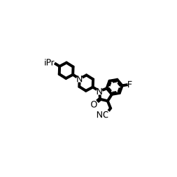 CC(C)C1CCC(N2CCC(N3C(=O)C(CC#N)c4cc(F)ccc43)CC2)CC1